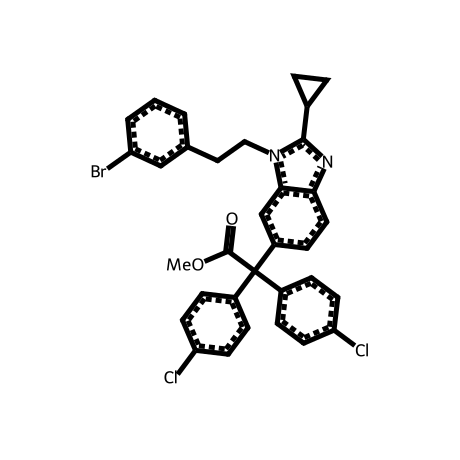 COC(=O)C(c1ccc(Cl)cc1)(c1ccc(Cl)cc1)c1ccc2nc(C3CC3)n(CCc3cccc(Br)c3)c2c1